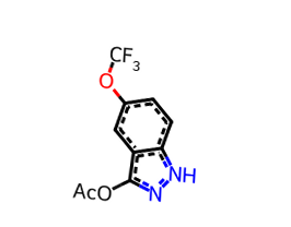 CC(=O)Oc1n[nH]c2ccc(OC(F)(F)F)cc12